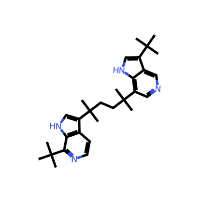 CC(C)(C)c1c[nH]c2c(C(C)(C)CCC(C)(C)c3c[nH]c4c(C(C)(C)C)nccc34)cncc12